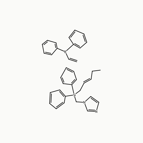 C=CB(c1ccccc1)c1ccccc1.CCC=CC[Si](Cn1ccnc1)(c1ccccc1)c1ccccc1